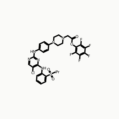 CC(C)S(=O)(=O)c1ccccc1Nc1nc(Nc2ccc(N3CCN(CC(=O)Oc4c(F)c(F)c(F)c(F)c4F)CC3)cc2)ncc1Cl